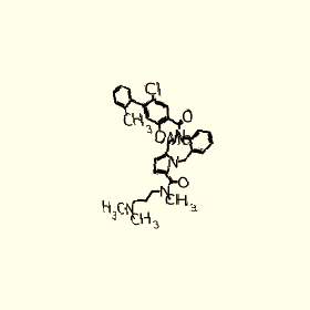 COc1cc(-c2ccccc2C)c(Cl)cc1C(=O)N1Cc2ccc(C(=O)N(C)CCCN(C)C)n2Cc2ccccc21